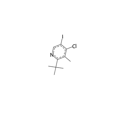 Cc1c(C(C)(C)C)ncc(I)c1Cl